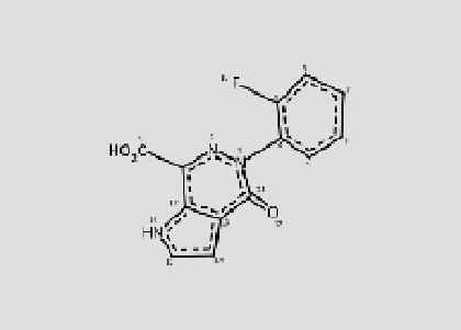 O=C(O)c1nn(-c2ccccc2F)c(=O)c2cc[nH]c12